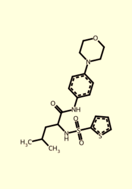 CC(C)CC(NS(=O)(=O)c1cccs1)C(=O)Nc1ccc(N2CCOCC2)cc1